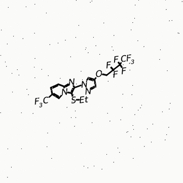 CCSc1c(-n2cc(OCC(F)(F)C(F)(F)C(F)(F)F)cn2)nc2ccc(C(F)(F)F)cn12